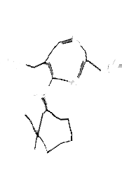 CCOC(=O)c1cnc(SC)nc1NC1CCCC1(C)C